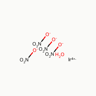 O.O=[N+]([O-])[O-].O=[N+]([O-])[O-].O=[N+]([O-])[O-].O=[N+]([O-])[O-].[Ir+4]